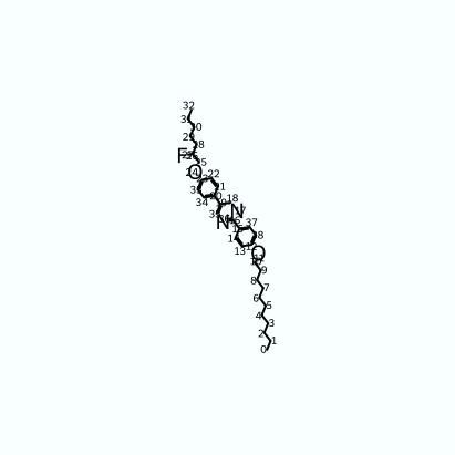 CCCCCCCCCCCOc1ccc(-c2ncc(-c3ccc(OCC(F)CCCCC)cc3)cn2)cc1